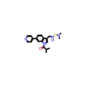 CC(C)C(=O)n1cc(CNSN(C)C)c2ccc(-c3ccncc3)cc21